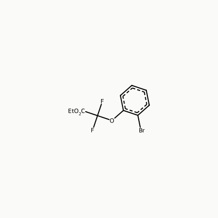 CCOC(=O)C(F)(F)Oc1ccccc1Br